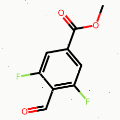 COC(=O)c1cc(F)c(C=O)c(F)c1